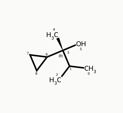 CC(C)[C@@](C)(O)C1CC1